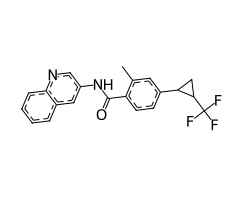 Cc1cc(C2CC2C(F)(F)F)ccc1C(=O)Nc1cnc2ccccc2c1